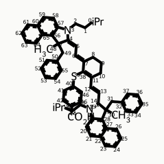 CC(C)CCN1/C(=C/C=C2\CCCC(/C=C/C3=[N+](CCC(C)C)c4ccc5ccccc5c4C3(C)Cc3ccccc3)=C2Sc2ccc(C(=O)O)cc2)C(C)(Cc2ccccc2)c2c1ccc1ccccc21